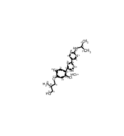 CC(C)Nc1ncc(-c2nnc(-c3cc(F)c(OC[C@H](N)CO)cc3Cl)s2)cn1.Cl